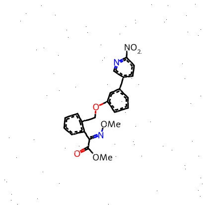 CO/N=C(/C(=O)OC)c1ccccc1COc1cccc(-c2ccc([N+](=O)[O-])nc2)c1